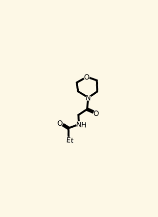 CCC(=O)NCC(=O)N1CCOCC1